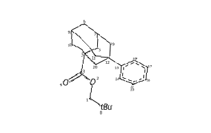 CC(C)(C)COC(=O)C12CC3CC(C1)CC(c1ccccc1)(C3)C2